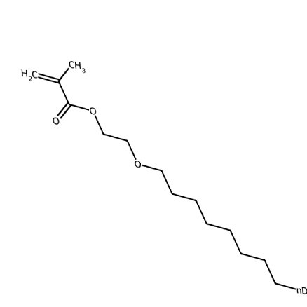 C=C(C)C(=O)OCCOCCCCCCCCCCCCCCCCCC